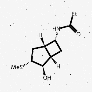 CCC(=O)N[C@@H]1C[C@@H]2[C@@H](O)[C@H](SC)C[C@@H]21